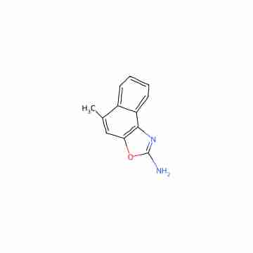 Cc1cc2oc(N)nc2c2ccccc12